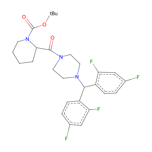 CC(C)(C)OC(=O)N1CCCCC1C(=O)N1CCN(C(c2ccc(F)cc2F)c2ccc(F)cc2F)CC1